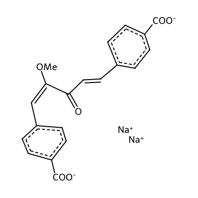 COC(=Cc1ccc(C(=O)[O-])cc1)C(=O)C=Cc1ccc(C(=O)[O-])cc1.[Na+].[Na+]